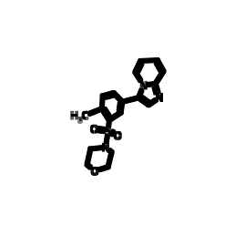 Cc1ccc(-c2cnc3ccccn23)cc1S(=O)(=O)N1CCOCC1